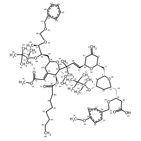 C=C1C[C@@H](C[C@H]2C[C@@H](O[Si](C)(C)C(C)(C)C)C[C@@H](C[C@H](CC(=O)O)OCc3ccc(OC)cc3)O2)O[C@@H](/C=C/C(C)(C)[C@]2(OC)O[C@H](C[C@@H](O[Si](C)(C)C(C)(C)C)[C@@H](C)OCOCc3ccccc3)C/C(=C\C(=O)OC)[C@@H]2OC(=O)CCCCCCC)C1